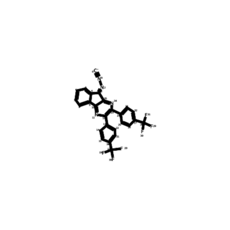 [C-]#[N+]/N=C1\c2ccccc2-c2nc(-c3ccc(C(F)(F)F)cc3)c(-c3ccc(C(F)(F)F)cc3)nc21